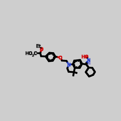 CCOC(Cc1ccc(OCCN2CCC(C)(C)c3cc(/C(=N\O)C4CCCCC4)ccc32)cc1)C(=O)O